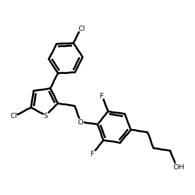 OCCCc1cc(F)c(OCc2sc(Cl)cc2-c2ccc(Cl)cc2)c(F)c1